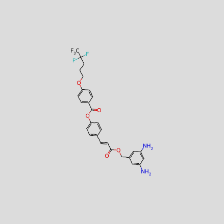 Nc1cc(N)cc(COC(=O)/C=C/c2ccc(OC(=O)c3ccc(OCCCC(F)(F)C(F)(F)F)cc3)cc2)c1